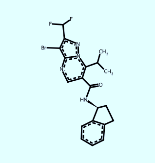 CC(C)c1c(C(=O)N[C@H]2CCc3ccccc32)cnc2c(Br)c(C(F)F)nn12